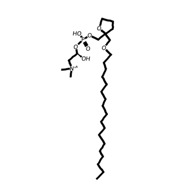 CCCCCCCCCCCCCCCCCCOCC1(COP(=O)(O)O[C@@H](O)C[N+](C)(C)C)CCCO1